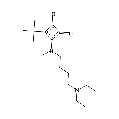 CCN(CC)CCCCN(C)c1c(C(C)(C)C)c(=O)c1=O